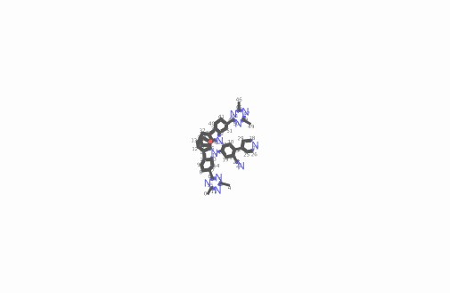 Cc1nc(C)nc(-c2ccc3c4ccccc4n(-c4cc(C#N)c(-c5ccncc5)cc4-n4c5ccccc5c5ccc(-c6nc(C)nc(C)n6)cc54)c3c2)n1